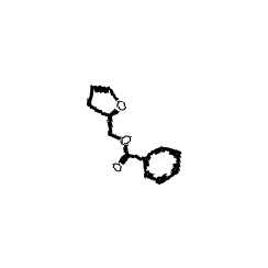 O=C(OCC1CC=CO1)c1ccccc1